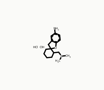 CN(C)CC1CCCCC12Cc1cc(N)ccc1O2.Cl.Cl